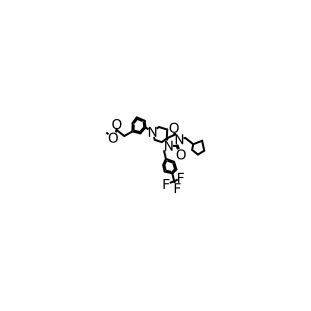 COC(=O)Cc1cccc(N2CCC3(CC2)C(=O)N(CC2CCCC2)C(=O)N3Cc2ccc(C(F)(F)F)cc2)c1